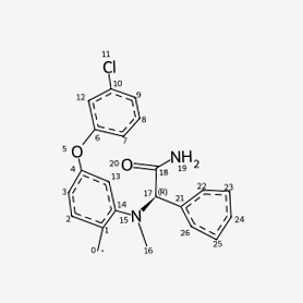 [CH2]c1ccc(Oc2cccc(Cl)c2)cc1N(C)[C@@H](C(N)=O)c1ccccc1